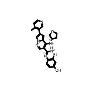 CCc1cc(O)ccc1/N=C(\N)c1cnn2cc(-c3cnccc3C)cc2c1N[C@H]1CCOC1